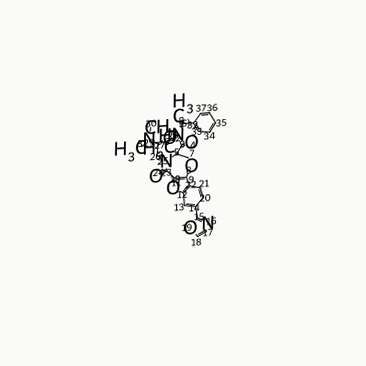 C[C@H](NC(=O)C1(C)COc2c(oc3cc(-c4ncco4)ccc23)C(=O)N1CC(=O)N(C)C)c1ccccc1